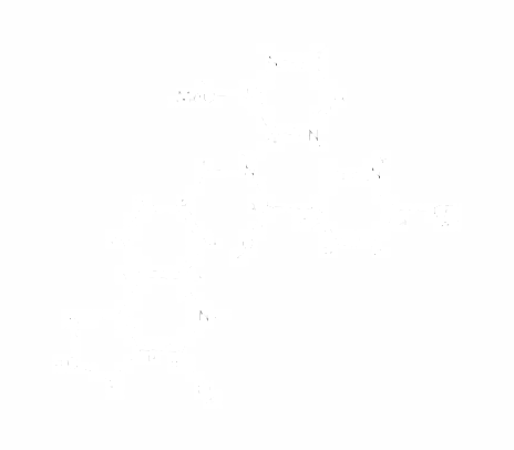 COc1nccnc1N(Cc1ccc2c3c(c(Cl)nc2c1)COC3)C(=O)c1ccc(C(F)(F)F)nc1